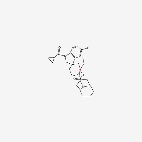 CCCOC(=O)N1C2CCCC1CC(N1CCC3(CC1)CN(C(=O)C1CC1)c1ccc(F)cc13)C2